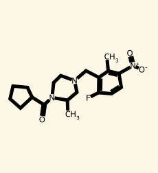 Cc1c([N+](=O)[O-])ccc(F)c1CN1CCN(C(=O)C2CCCC2)C(C)C1